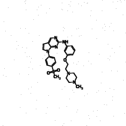 CN1CCN(CCOc2cccc(Nc3ncc4ccn(-c5ccc(S(C)(=O)=O)cc5)c4n3)c2)CC1